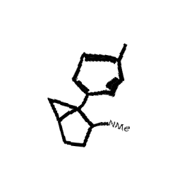 CNC1CCC2CC21c1ccc(C)cc1